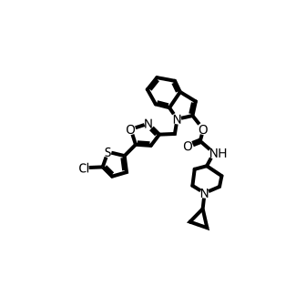 O=C(NC1CCN(C2CC2)CC1)Oc1cc2ccccc2n1Cc1cc(-c2ccc(Cl)s2)on1